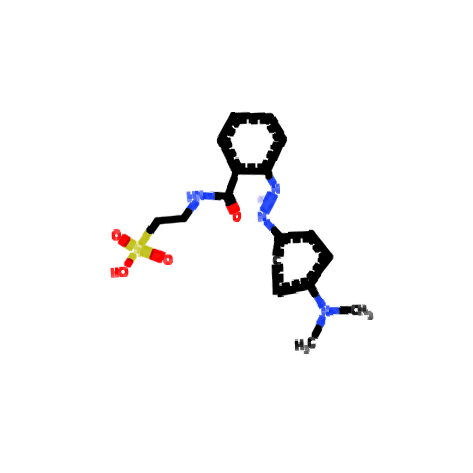 CN(C)c1ccc(/N=N/c2ccccc2C(=O)NCCS(=O)(=O)O)cc1